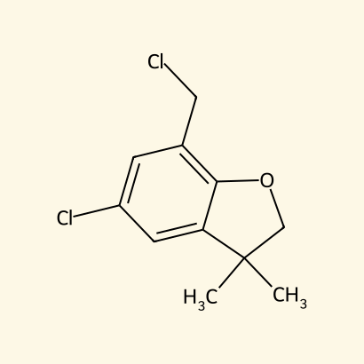 CC1(C)COc2c(CCl)cc(Cl)cc21